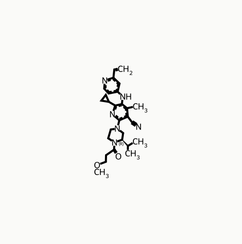 C=Cc1cc(Nc2c(C3CC3)nc(N3CCN(C(=O)CCOC)[C@H](C(C)C)C3)c(C#N)c2C)ccn1